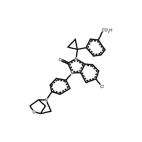 O=C(O)c1cccc(C2(n3c(=O)n(-c4ccc(N5CC6CC5CO6)cc4)c4cc(Cl)ccc43)CC2)c1